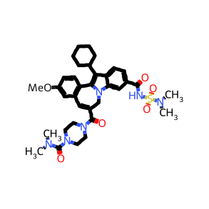 COc1ccc2c(c1)C=C(C(=O)N1CCN(C(=O)N(C)C)CC1)Cn1c-2c(C2CCCCC2)c2ccc(C(=O)NS(=O)(=O)N(C)C)cc21